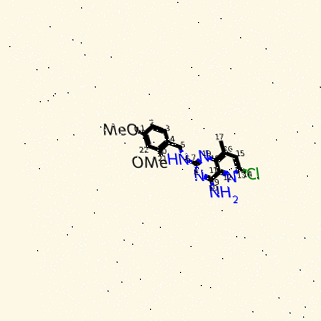 COc1ccc(CNc2nc(N)c3nc(Cl)cc(C)c3n2)c(OC)c1